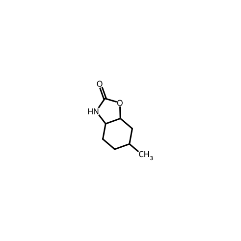 CC1CCC2NC(=O)OC2C1